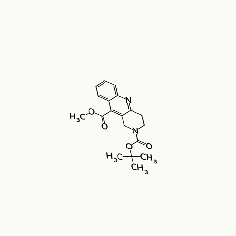 COC(=O)c1c2c(nc3ccccc13)CCN(C(=O)OC(C)(C)C)C2